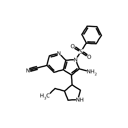 CCC1CNCC1c1c(N)n(S(=O)(=O)c2ccccc2)c2ncc(C#N)cc12